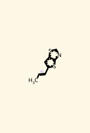 C/C=C/c1cc2scnc2s1